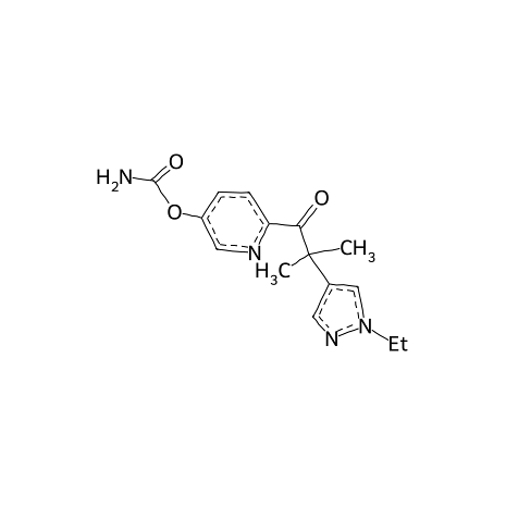 CCn1cc(C(C)(C)C(=O)c2ccc(OC(N)=O)cn2)cn1